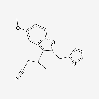 COc1ccc2oc(Cc3ccco3)c(C(C)CC#N)c2c1